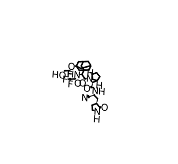 N#C[C@H](C[C@@H]1CCNC1=O)NC(=O)[C@@H]1[C@H]2CC[C@H](C2)N1C(=O)[C@@H](NC(=O)C(F)(F)F)C12CC3CC(CC(OCCO)(C3)C1)C2